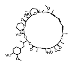 CO[C@H]1C[C@@H]2CC[C@@H](C)[C@@](O)(O2)C(=O)C(=O)N2CCCC[C@H]2C(O)O[C@H]([C@H](C)C[C@@H]2CC[C@H](O)[C@H](OC)C2)CC(=O)[C@H](C)/C=C(\C)[C@@H](O)[C@H](OC)C(=O)[C@H](C)C[C@H](C)/C=C/C=C/C=C/1C